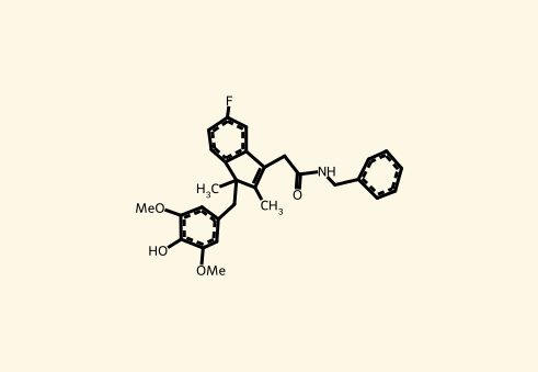 COc1cc(CC2(C)C(C)=C(CC(=O)NCc3ccccc3)c3cc(F)ccc32)cc(OC)c1O